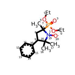 CCOP(=O)(OCC)C1(C)CC(c2ccccc2)C(C)(C)N1[O]